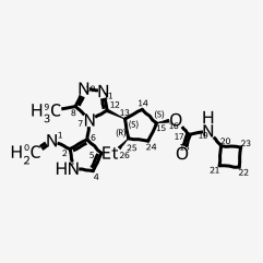 C=Nc1[nH]ccc1-n1c(C)nnc1[C@H]1C[C@@H](OC(=O)NC2CCC2)C[C@H]1CC